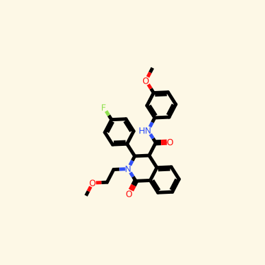 COCCN1C(=O)c2ccccc2C(C(=O)Nc2cccc(OC)c2)C1c1ccc(F)cc1